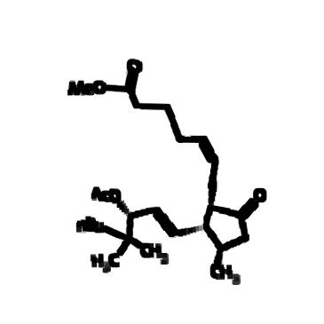 CCCCC(C)(C)[C@@H](/C=C/[C@H]1[C@H](C)CC(=O)[C@@H]1C/C=C\CCCC(=O)OC)OC(C)=O